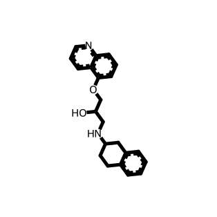 OC(CNC1CCc2ccccc2C1)COc1cccc2ncccc12